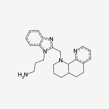 NCCCn1c(CN2CCCC3CCc4cccnc4C32)nc2ccccc21